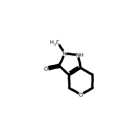 Cn1[nH]c2c(c1=O)COCC2